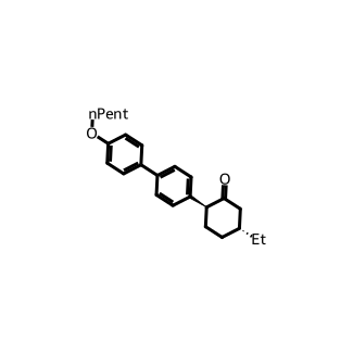 CCCCCOc1ccc(-c2ccc([C@@H]3CC[C@@H](CC)CC3=O)cc2)cc1